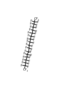 FC(F)(F)C(F)(F)C(F)(F)C(F)(F)C(F)(F)C(F)(F)C(F)(F)C(F)(F)C(F)(F)C(F)(F)C(F)(F)C(F)(F)C(F)(F)C(F)(F)C(F)(F)C(F)(F)C(F)(F)C(F)(F)F